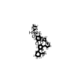 O=S(=O)(Nc1nncs1)c1cc(Cl)c(Oc2ccc(-c3ccccc3C(F)(F)F)cc2-c2ccnn2C2CNC2)cc1F